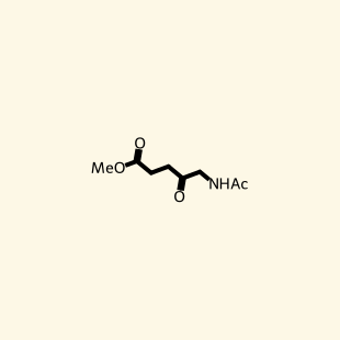 COC(=O)CCC(=O)CNC(C)=O